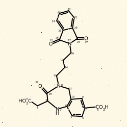 O=C(O)CC1Nc2ccc(C(=O)O)cc2CN(CCCCN2C(=O)c3ccccc3C2=O)C1=O